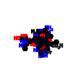 CC[C@H](C)[C@H](NC(=O)[C@H](CS)NC(=O)[C@H](Cc1ccccc1)NC(=O)[C@H](CC(N)=O)NC(=O)[C@H](C)NC(=O)[C@@H]1CCCN1C(=O)[C@H](Cc1c[nH]cn1)NC(=O)[C@@H]1CCCN1C(=O)[C@@H]1CCCN1C(=O)[C@H](CC(C)C)NC(=O)[C@H](Cc1c[nH]cn1)NC(=O)CNC(=O)[C@H](Cc1ccc(O)cc1)NC(=O)[C@H](CC(=O)O)NC(=O)[C@H](Cc1c[nH]c2ccccc12)NC(=O)[C@H](CO)NC(=O)[C@@H](N)CO)C(=O)N[C@@H](Cc1ccccc1)C(=O)O